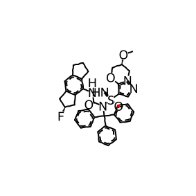 CO[C@@H]1COc2c(S(=N)(=O)N(C(=O)Nc3c4c(cc5c3C[C@@H](F)C5)CCC4)C(c3ccccc3)(c3ccccc3)c3ccccc3)cnn2C1